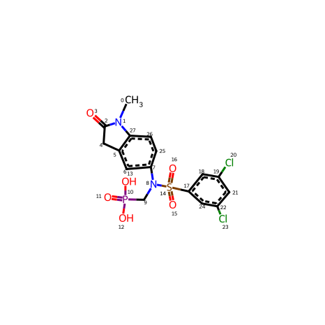 CN1C(=O)Cc2cc(N(CP(=O)(O)O)S(=O)(=O)c3cc(Cl)cc(Cl)c3)ccc21